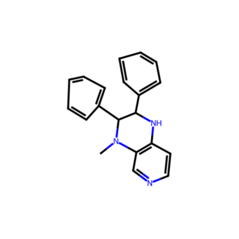 CN1c2cnccc2NC(c2ccccc2)C1c1ccccc1